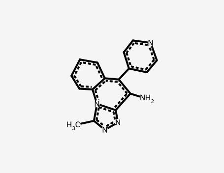 Cc1nnc2c(N)c(-c3ccncc3)c3ccccc3n12